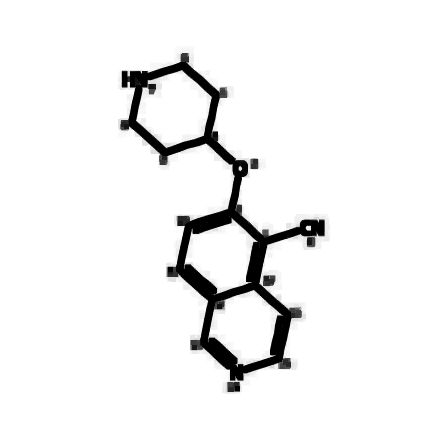 N#Cc1c(OC2CCNCC2)ccc2cnccc12